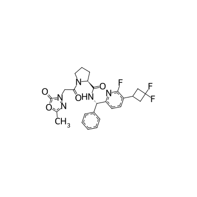 Cc1nn(CC(=O)N2CCC[C@H]2C(=O)N[C@@H](c2ccccc2)c2ccc(C3CC(F)(F)C3)c(F)n2)c(=O)o1